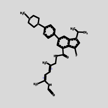 C/C(=C/C=C(\C)CNC(=O)c1cc(-c2ccc(N3CCN(C)CC3)nc2)cc2c1c(F)cn2C(C)C)NC=O